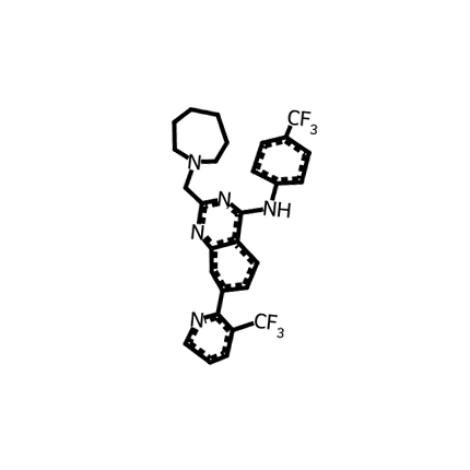 FC(F)(F)c1ccc(Nc2nc(CN3CCCCCC3)nc3cc(-c4ncccc4C(F)(F)F)ccc23)cc1